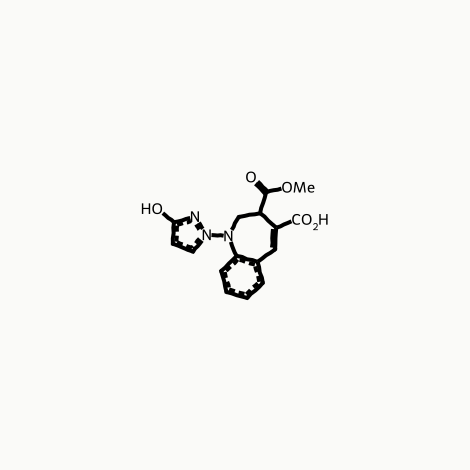 COC(=O)C1CN(n2ccc(O)n2)c2ccccc2C=C1C(=O)O